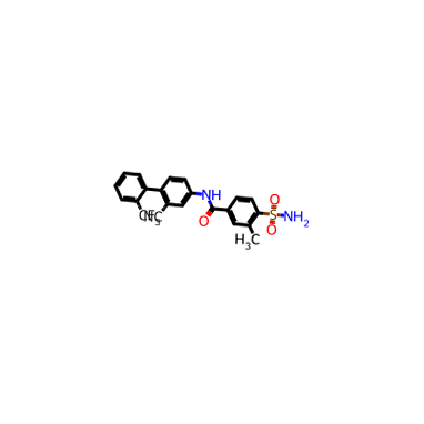 Cc1cc(C(=O)Nc2ccc(-c3ccccc3C(F)(F)F)c(C#N)c2)ccc1S(N)(=O)=O